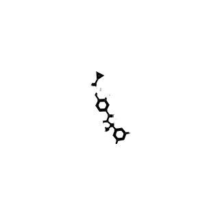 O=C(NCc1ccc(C2=NOC(c3cc(Cl)cc(Cl)c3)(C(F)(F)F)C2Br)cc1Br)C1CC1